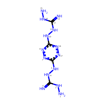 N=C(NN)NNc1nnc(NNC(=N)NN)nn1